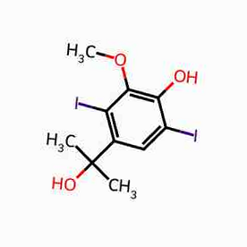 COc1c(O)c(I)cc(C(C)(C)O)c1I